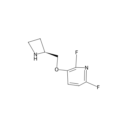 Fc1ccc(OC[C@@H]2CCN2)c(F)n1